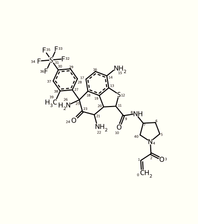 C=CC(=O)N1CCC(NC(=O)C2Sc3c(N)ccc4c3C2C(N)C(=O)C4(N)c2ccc(S(F)(F)(F)(F)F)cc2C)C1